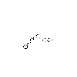 COC(=O)[C@H](Cc1ccc(OCc2ccccc2)cc1)NC(=O)CC1CCN(S(C)(=O)=O)CC1